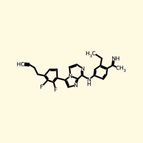 C#CCCc1ccc(-c2cnc3c(Nc4ccc(C(C)=N)c(CC)c4)nccn23)c(F)c1F